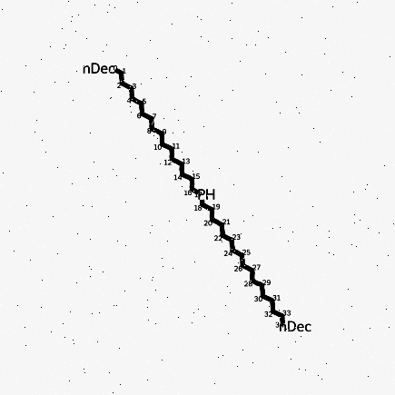 CCCCCCCCCCCCCCCCCCCCCCCCCCPCCCCCCCCCCCCCCCCCCCCCCCCCC